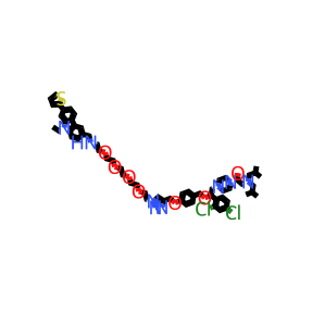 CCn1c2ccc(CNCCOCCOCCOCCOCCn3cc(COc4ccc(COC(CN5CCN(C(=O)CN(CC(C)C)CC(C)C)CC5)c5ccc(Cl)cc5Cl)cc4)nn3)cc2c2ccc(-c3cccs3)cc21